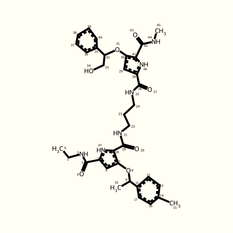 CCNC(=O)c1cc(OC(C)c2ccc(C)cc2)c(C(=O)NCCCNC(=O)c2cc(OC(CO)c3ccccc3)c(C(=O)NC)[nH]2)[nH]1